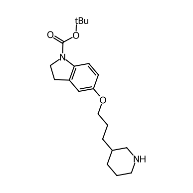 CC(C)(C)OC(=O)N1CCc2cc(OCCCC3CCCNC3)ccc21